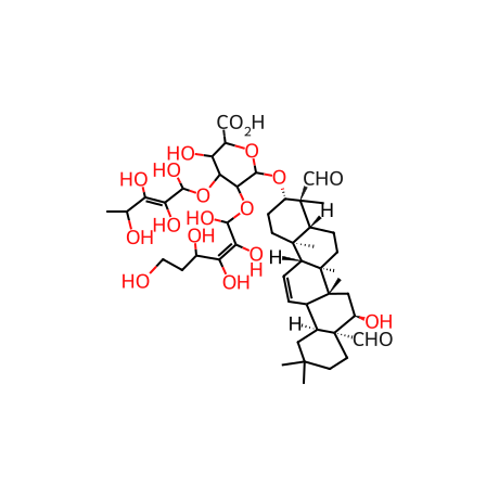 CC(O)/C(O)=C(\O)C(O)OC1C(O)C(C(=O)O)OC(O[C@H]2CC[C@]3(C)[C@H]4C=CC5[C@@H]6CC(C)(C)CC[C@]6(C=O)[C@H](O)C[C@@]5(C)[C@]4(C)CC[C@H]3[C@]2(C)C=O)C1OC(O)/C(O)=C(/O)C(O)CCO